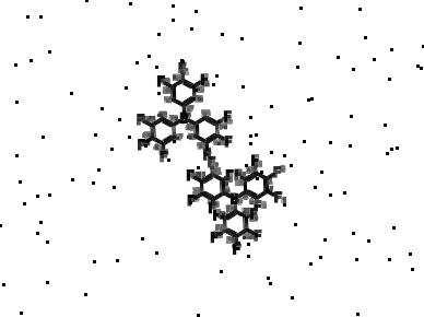 Fc1c(F)c(F)c(B(c2c(F)c(F)c(F)c(F)c2F)c2c(F)c(F)c(F)c(F)c2F)c(F)c1F.Fc1cc(B(c2cc(F)c(F)c(F)c2)c2cc(F)c(F)c(F)c2)cc(F)c1F